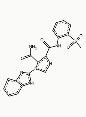 CS(=O)(=O)c1ccccc1NC(=O)c1ncn(-c2nc3ccccc3[nH]2)c1C(N)=O